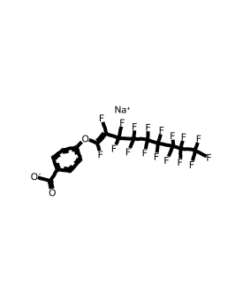 O=C([O-])c1ccc(OC(F)=C(F)C(F)(F)C(F)(F)C(F)(F)C(F)(F)C(F)(F)C(F)(F)C(F)(F)F)cc1.[Na+]